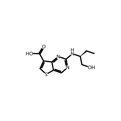 CC[C@@H](CO)Nc1ncc2scc(C(=O)O)c2n1